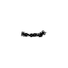 O=[N+]([O-])c1cn2c(n1)O[C@@H](COc1ccc(N3CCC(CCc4ccc(OC(F)(F)F)cc4)CC3)cc1)CC2